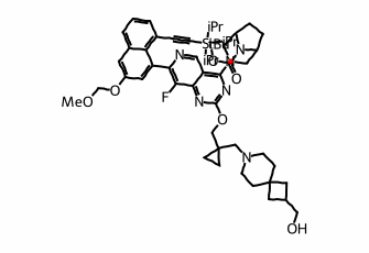 COCOc1cc(-c2ncc3c(N4CC5CCC(C4)N5C(=O)OC(C)(C)C)nc(OCC4(CN5CCC6(CC5)CC(CO)C6)CC4)nc3c2F)c2c(C#C[Si](C(C)C)(C(C)C)C(C)C)cccc2c1